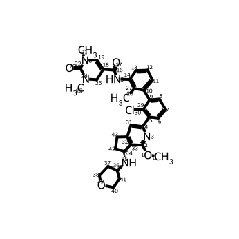 COc1nc(-c2cccc(-c3cccc(NC(=O)C4=CN(C)C(=O)N(C)C4)c3C)c2Cl)cc2c1[C@H](NC1CCOCC1)CC2